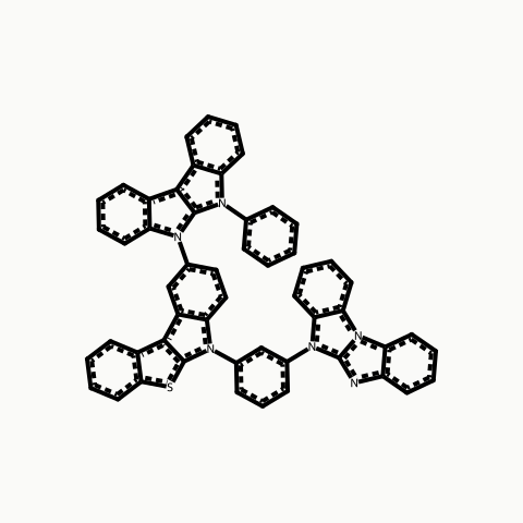 c1ccc(-n2c3ccccc3c3c4ccccc4n(-c4ccc5c(c4)c4c6ccccc6sc4n5-c4cccc(-n5c6ccccc6n6c7ccccc7nc56)c4)c32)cc1